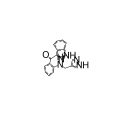 O=C(c1ccccc1NCc1cn[nH]c1)c1n[nH]c2ccccc12